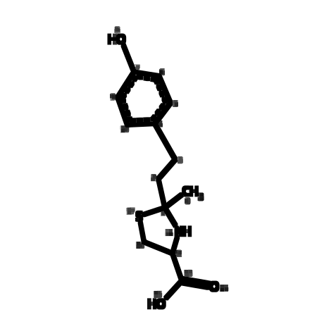 CC1(CCc2ccc(O)cc2)NC(C(=O)O)CS1